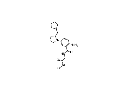 CC(C)NC(=O)CNC(=O)c1cc(N2CCC[C@H]2CN2CCCC2)ccc1N